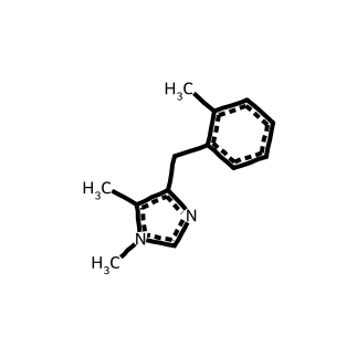 Cc1ccccc1Cc1ncn(C)c1C